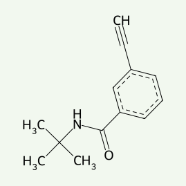 C#Cc1cccc(C(=O)NC(C)(C)C)c1